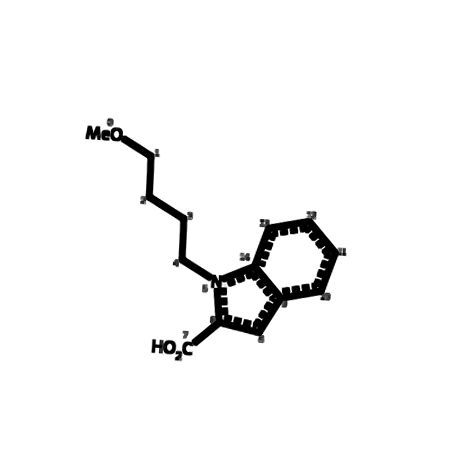 COCCCCn1c(C(=O)O)cc2ccccc21